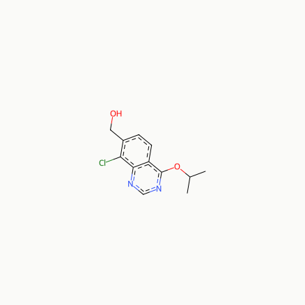 CC(C)Oc1ncnc2c(Cl)c(CO)ccc12